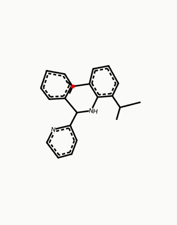 CC(C)c1cccc(C(C)C)c1NC(c1ccccc1)c1ccccn1